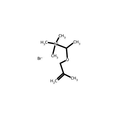 C=C(C)COC(C)[N+](C)(C)C.[Br-]